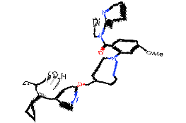 CCC(C(=O)O)[C@@H](c1ccnc(OCC2CCN(c3cc(OC)ccc3C(=O)N(CC(C)(C)C)c3ccccn3)CC2)c1)C1CC1